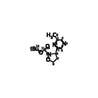 Cc1cncc([C@H]2CCON2C(=O)OC(C)(C)C)n1